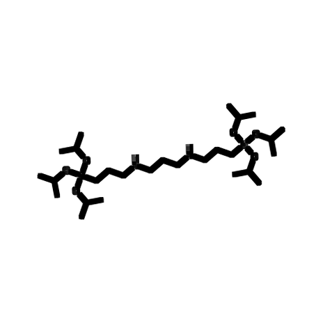 CC(C)O[Si](CCCNCCCNCCC[Si](OC(C)C)(OC(C)C)OC(C)C)(OC(C)C)OC(C)C